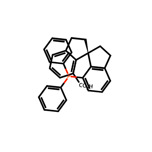 O=C(O)c1cccc2c1[C@]1(CC2)CCc2cccc(P(c3ccccc3)c3ccccc3)c21